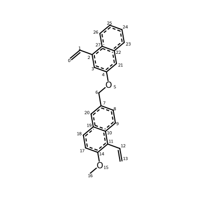 C=Cc1cc(OCc2ccc3c(C=C)c(OC)ccc3c2)cc2ccccc12